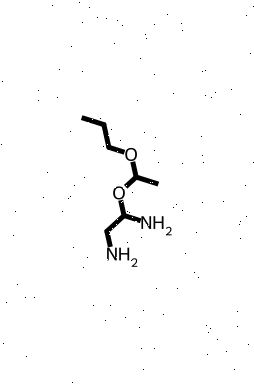 CCCOC(C)OC(N)CN